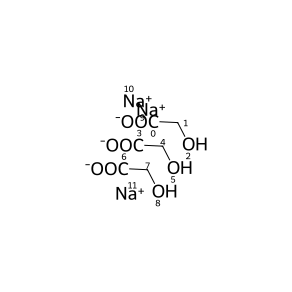 O=C([O-])CO.O=C([O-])CO.O=C([O-])CO.[Na+].[Na+].[Na+]